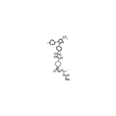 Cc1ccc(-c2cc(C(F)(F)F)nn2-c2ccc(S(=O)(=O)NC(=O)C3CCN(/[N+]([O-])=N\OC(C)OC(=O)C(C)(C)C)CC3)cc2)cc1